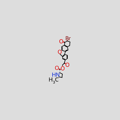 C[C@H]1CC[C@@H](C(=O)OCC(=O)c2ccc3c(c2)COc2cc4c(cc2-3)CCC(Br)C4=O)N1